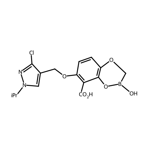 CC(C)n1cc(COc2ccc3c(c2C(=O)O)OB(O)CO3)c(Cl)n1